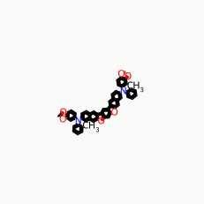 Cc1ccccc1N(c1ccc2c(c1)OCO2)c1ccc2cc3c(cc2c1)oc1cc2oc4cc5cc(N(c6ccc7c(c6)OCO7)c6ccccc6C)ccc5cc4c2cc13